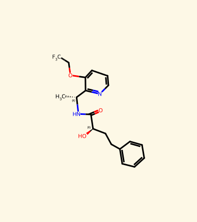 C[C@@H](NC(=O)[C@H](O)CCc1ccccc1)c1ncccc1OCC(F)(F)F